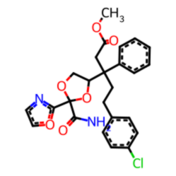 COC(=O)CC(CCc1ccc(Cl)cc1)(c1ccccc1)C1COC(C(N)=O)(c2ncco2)O1